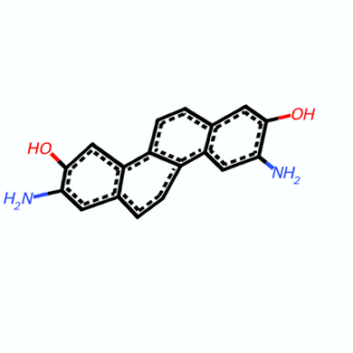 Nc1cc2c(ccc3c4cc(O)c(N)cc4ccc23)cc1O